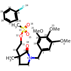 COc1cc(CN2CCC(C)(CCOS(C)(=O)=O)C2=O)cc(OC)c1OC.Fc1ccccc1